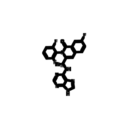 CC[C@@H](Nc1ncnc2[nH]cnc12)c1cc2ccc(F)cc2c(=O)n1-c1c(F)cccc1F